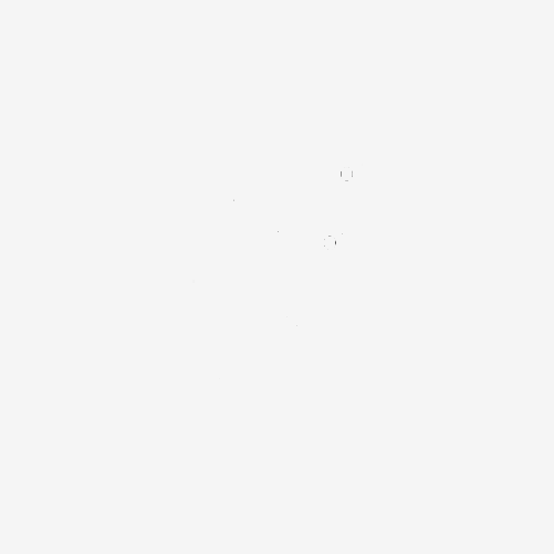 CC1OC(C)(C=O)c2ccccc21